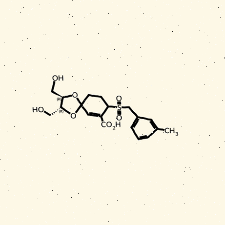 Cc1cccc(CS(=O)(=O)C2CCC3(C=C2C(=O)O)O[C@H](CO)[C@@H](CO)O3)c1